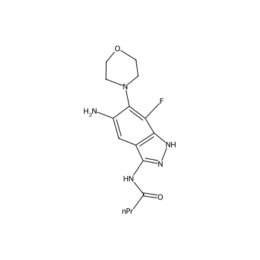 CCCC(=O)Nc1n[nH]c2c(F)c(N3CCOCC3)c(N)cc12